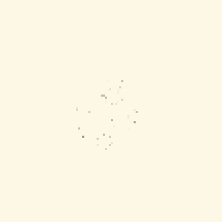 COc1ccc(N[SH](=O)=O)cc1NC(=O)C(c1nc2cc(Cl)c(Cl)cc2c(=O)n1CCNC(C)=O)n1nc(C)cc1C